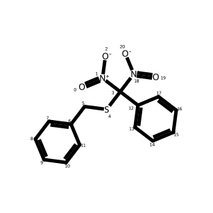 O=[N+]([O-])C(SCc1ccccc1)(c1ccccc1)[N+](=O)[O-]